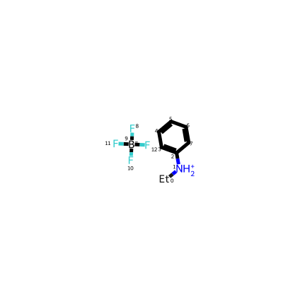 CC[NH2+]c1ccccc1.F[B-](F)(F)F